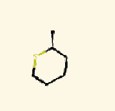 C[C@H]1CCCCS1